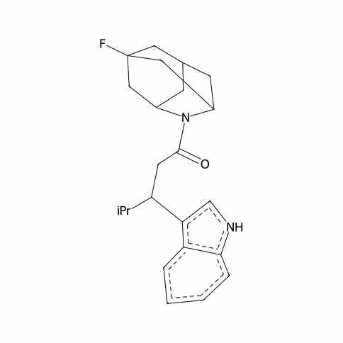 CC(C)C(CC(=O)N1C2CC3CC1CC(F)(C3)C2)c1c[nH]c2ccccc12